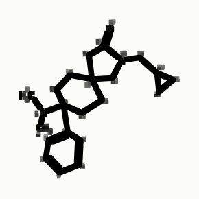 CN(C)C1(c2ccccc2)CCC2(CC1)CC(=O)N(CC1CC1)C2